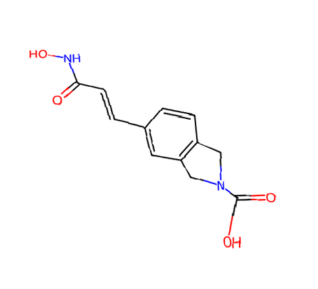 O=C(/C=C/c1ccc2c(c1)CN(C(=O)O)C2)NO